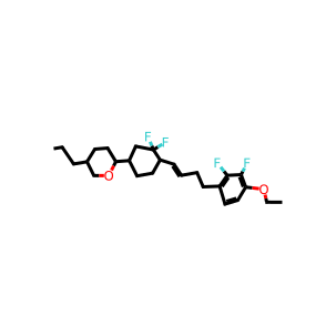 CCCC1CCC(C2CCC(/C=C/CCc3ccc(OCC)c(F)c3F)C(F)(F)C2)OC1